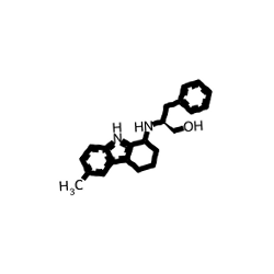 Cc1ccc2[nH]c3c(c2c1)CCCC3N[C@H](CO)Cc1ccccc1